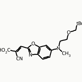 CN(CCOCC(C)(C)C)c1ccc2nc(/C=C(\C#N)C(=O)O)oc2c1